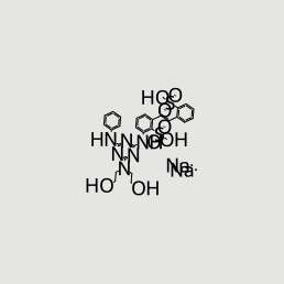 O=S(=O)(O)c1ccccc1C=Cc1cccc(Nc2nc(Nc3ccccc3)nc(N(CCO)CCO)n2)c1S(=O)(=O)O.[Na].[Na]